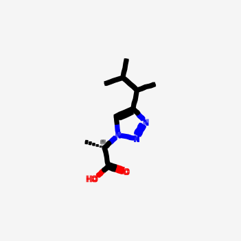 CC(C)C(C)c1cn([C@@H](C)C(=O)O)nn1